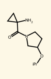 CC(C)OC1CCN(C(=O)C2(N)CC2)C1